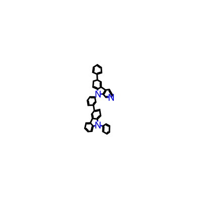 C1=c2c(n(-c3cccc(-c4ccc5c(c4)c4ccccc4n5-c4ccccc4)c3)c3cnccc23)=CCC1c1ccccc1